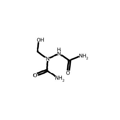 NC(=O)NN(CO)C(N)=O